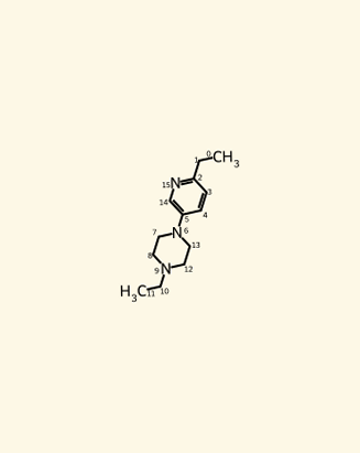 CCc1ccc(N2CCN(CC)CC2)cn1